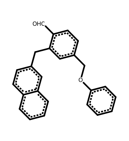 O=Cc1ccc(COc2ccccc2)cc1Cc1ccc2ccccc2c1